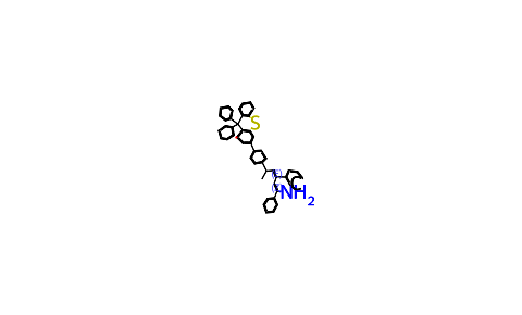 CC(/C=C(\C=C(/N)c1ccccc1)c1ccccc1)c1ccc(-c2ccc3c(c2)Sc2ccccc2C3(c2ccccc2)c2ccccc2)cc1